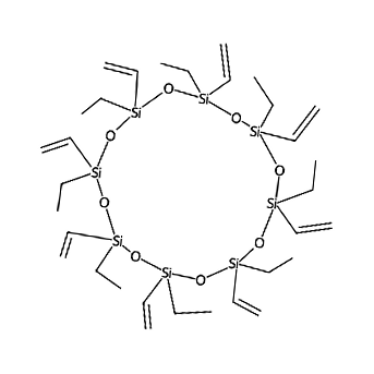 C=C[Si]1(CC)O[Si](C=C)(CC)O[Si](C=C)(CC)O[Si](C=C)(CC)O[Si](C=C)(CC)O[Si](C=C)(CC)O[Si](C=C)(CC)O[Si](C=C)(CC)O1